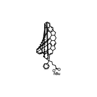 CCCCOC(=O)CCCC1(c2ccccc2)C2C3=CC4CC5=CC6CC7Cc8cc9cc%10c%11c(c%12c3c3c%13c%14c%15c%16c(c8C7C=%15C6C%14=C5C34)c9c%11c%16c%13%12)C21C=%10